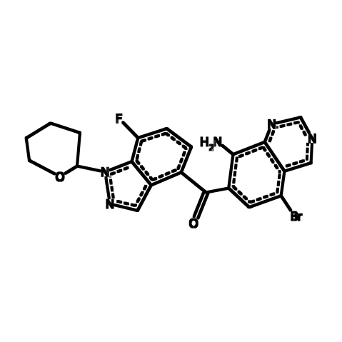 Nc1c(C(=O)c2ccc(F)c3c2cnn3C2CCCCO2)cc(Br)c2cncnc12